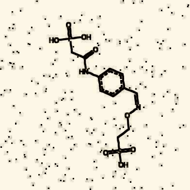 O=C(CP(=O)(O)O)Nc1ccc(/C=N\OCCS(=O)(=O)O)cc1